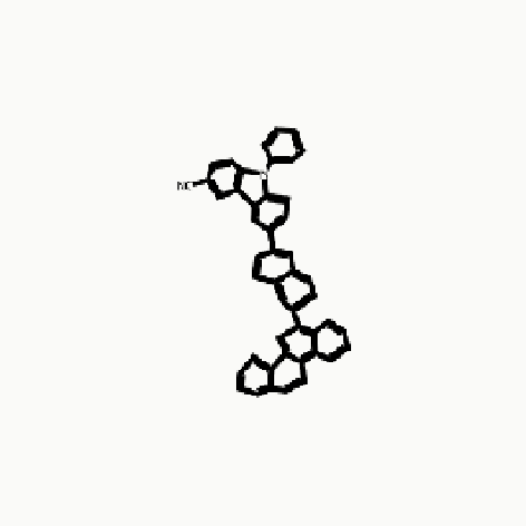 N#Cc1ccc2c(c1)c1cc(-c3ccc4cc(-c5cc6c7ccccc7ccc6c6ccccc56)ccc4c3)ccc1n2-c1ccccc1